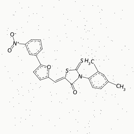 Cc1ccc(N2C(=O)/C(=C/c3ccc(-c4cccc([N+](=O)[O-])c4)o3)SC2=S)c(C)c1